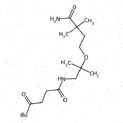 CCC(C)C(=O)CCC(=O)NCC(C)(C)OCCC(C)(C)C(N)=O